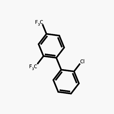 FC(F)(F)c1ccc(-c2ccccc2Cl)c(C(F)(F)F)c1